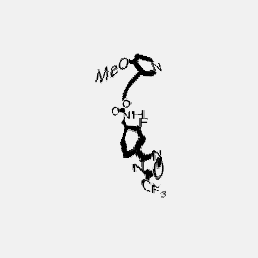 COc1ccncc1COC(=O)NCc1ccc(-c2noc(C(F)(F)F)n2)cc1F